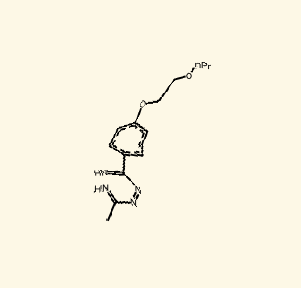 CCCOCCOc1ccc(C(=N)/N=N\C(C)=N)cc1